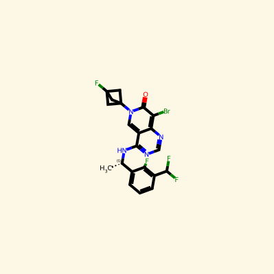 C[C@H](Nc1ncnc2c(Br)c(=O)n(C34CC(F)(C3)C4)cc12)c1cccc(C(F)F)c1F